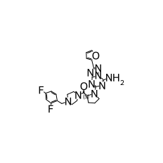 Nc1nc(N2CCC[C@H]2C(=O)N2CCN(Cc3ccc(F)cc3F)CC2)nc2nc(-c3ccco3)nn12